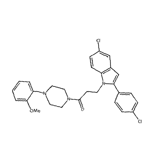 COc1ccccc1N1CCN(C(=O)CCn2c(-c3ccc(Cl)cc3)cc3cc(Cl)ccc32)CC1